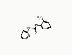 Cc1ccccc1NC(=S)Nc1ccccn1